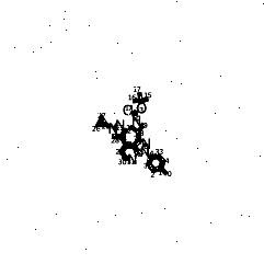 Cc1ccc(-n2nc(C3CN(C(=O)OC(C)(C)C)C3)c3c(-c4cnn(C5CC5)c4)ccnc32)cc1